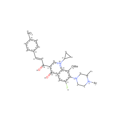 COc1c(N2CCN(C(C)=O)C(C)C2)c(F)cc2c(=O)c(C(=O)/C=C/c3ccc([N+](=O)[O-])cc3)cn(C3CC3)c12